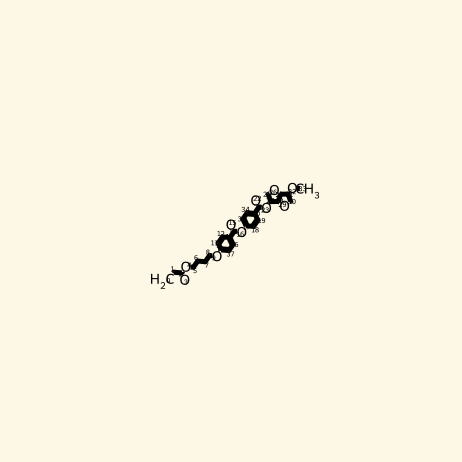 C=CC(=O)OCCCCOc1ccc(C(=O)Oc2ccc(C(=O)O[C@H]3COC4C3OC[C@@H]4OC)cc2)cc1